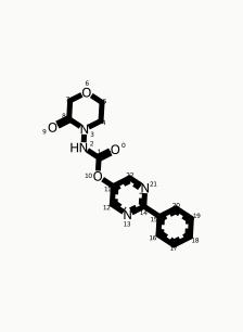 O=C(NN1CCOCC1=O)Oc1cnc(-c2ccccc2)nc1